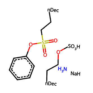 CCCCCCCCCCCCOS(=O)(=O)O.CCCCCCCCCCCCS(=O)(=O)Oc1ccccc1.N.[NaH]